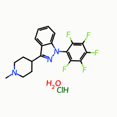 CN1CCC(c2nn(-c3c(F)c(F)c(F)c(F)c3F)c3ccccc23)CC1.Cl.O